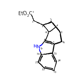 CCOC(=O)CC1CC2CCc3c([nH]c4ccccc34)C21